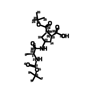 C[C@H](NC(=O)OC(C)(C)C)C(=O)NC1C[C@H](C(=O)O)N(C(=O)OC(C)(C)C)C1